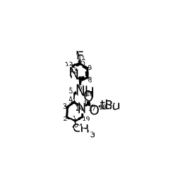 C[C@H]1CC[C@@H](CNc2ccc(F)cn2)N(C(=O)OC(C)(C)C)C1